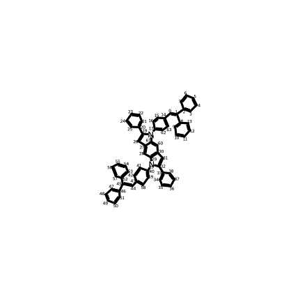 C(=C(c1ccccc1)c1ccccc1)c1ccc(-n2c(-c3ccccc3)cc3cc4c(cc(-c5ccccc5)n4-c4ccc(C=C(c5ccccc5)c5ccccc5)cc4)cc32)cc1